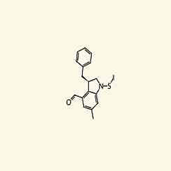 Cc1cc(C=O)c2c(c1)N(SI)C[C@@H]2Cc1ccccc1